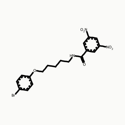 O=C(NCCCCCOc1ccc(Br)cc1)c1cc([N+](=O)[O-])cc([N+](=O)[O-])c1